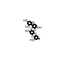 Cc1cc(O)cc(Oc2c(O)cc(O)c3c2Oc2c(O)cc4oc5cc(O)cc(O)c5c4c2O3)c1